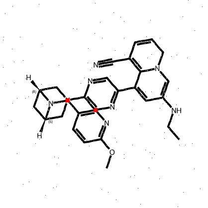 CCNC1=CN2CC=CC(C#N)=C2C(c2cnc(N3C[C@H]4C[C@@H](C3)N4Cc3ccc(OC)nc3)cn2)=C1